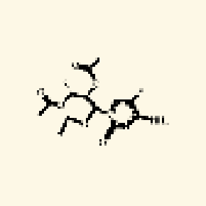 CCOC([C@H](OC(C)=O)[C@@H](C)OC(C)=O)n1cc(F)c(N)nc1=O